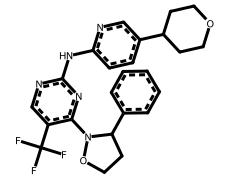 FC(F)(F)c1cnc(Nc2ccc(C3CCOCC3)cn2)nc1N1OCCC1c1ccccc1